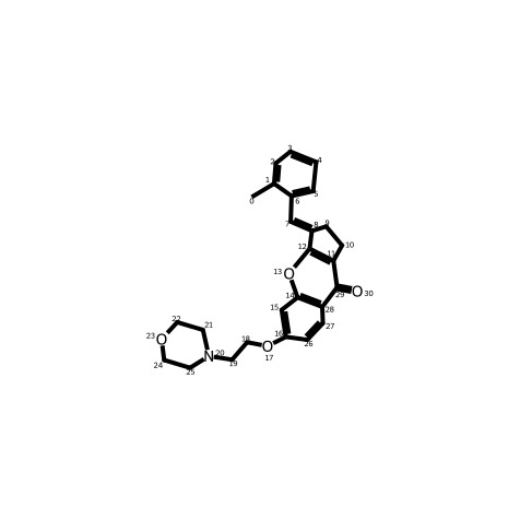 Cc1ccccc1/C=C1\CCc2c1oc1cc(OCCN3CCOCC3)ccc1c2=O